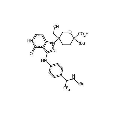 CC(C)(C)NC(c1ccc(Nc2nn(C3(CC#N)CCC(C(=O)O)(C(C)(C)C)OC3)c3cc[nH]c(=O)c23)cc1)C(F)(F)F